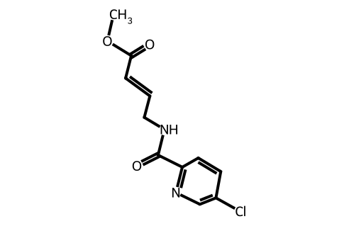 COC(=O)/C=C/CNC(=O)c1ccc(Cl)cn1